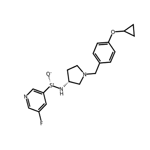 [O-][S@+](N[C@@H]1CCN(Cc2ccc(OC3CC3)cc2)C1)c1cncc(F)c1